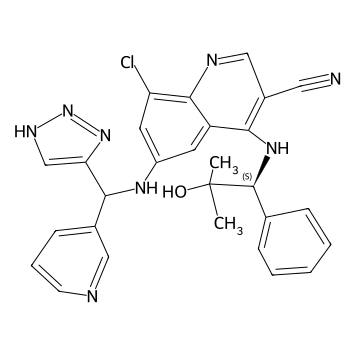 CC(C)(O)[C@@H](Nc1c(C#N)cnc2c(Cl)cc(NC(c3cccnc3)c3c[nH]nn3)cc12)c1ccccc1